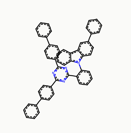 c1ccc(-c2ccc(-c3nc(-c4ccc(-c5ccccc5)cc4)nc(-c4ccccc4-n4c5ccccc5c5cc(-c6ccccc6)ccc54)n3)cc2)cc1